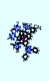 Cc1nc(C)nc(-c2ccc3c(c2)c2cc(-c4nc(C)nc(C)n4)ccc2n3-c2ccc(-c3nc(-c4ccccc4)nc(-c4ccccc4)n3)cc2-c2ccc(-c3ccc(C#N)cc3)cc2-n2c3ccc(-c4nc(C)nc(C)n4)cc3c3cc(-c4nc(C)nc(C)n4)ccc32)n1